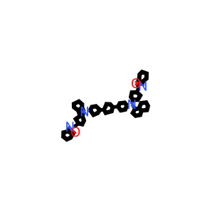 c1ccc2c(N(c3ccc(-c4ccc(-c5ccc(-n6c7ccccc7c7cc(-c8nc9ccccc9o8)ccc76)cc5)cc4)cc3)c3ccc(-c4nc5ccccc5o4)cc3)cccc2c1